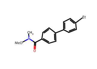 CCc1ccc(-c2ccc(C(=O)N(C)OC)cc2)cc1